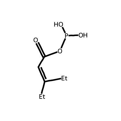 CCC(=CC(=O)OP(O)O)CC